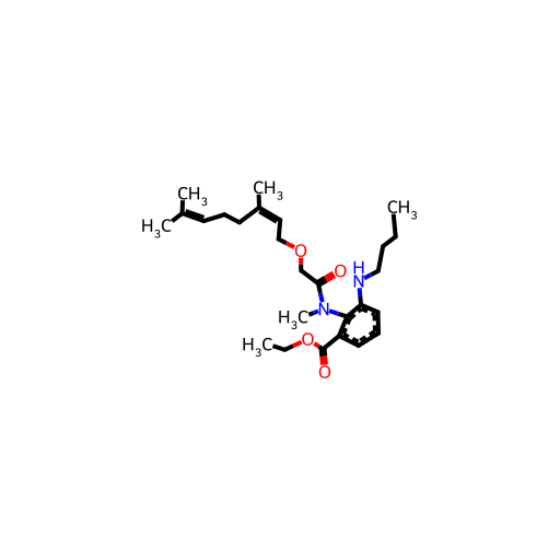 CCCCNc1cccc(C(=O)OCC)c1N(C)C(=O)COCC=C(C)CCC=C(C)C